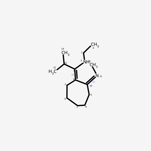 CCN/C(=C1/CCCCC/C1=N/C)C(C)C